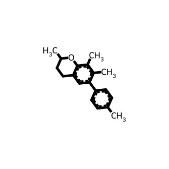 Cc1ccc(-c2cc3c(c(C)c2C)OC(C)CC3)cc1